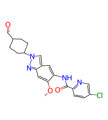 COc1cc2nn(C3CCC(C=O)CC3)cc2cc1NC(=O)c1ccc(Cl)cn1